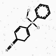 [N-]=[N+]=C1C=CC(S(Cl)(SCl)c2ccccc2)=CC1